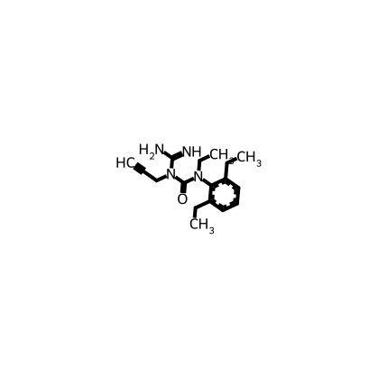 C#CCN(C(=N)N)C(=O)N(CC)c1c(CC)cccc1CC